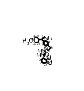 CN1CCC(c2c[nH]c3cc4c(cc23)N(NC(=O)Nc2cccc(Cl)c2Cl)CC4)CC1